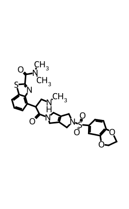 CNCC(C(=O)N1CC2=C(C1)CN(S(=O)(=O)c1ccc3c(c1)OCCO3)C2)c1cccc2sc(C(=O)N(C)C)nc12